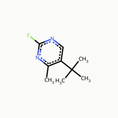 Cc1nc(F)ncc1C(C)(C)C